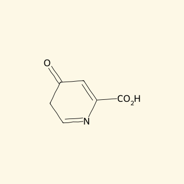 O=C1C=C(C(=O)O)N=CC1